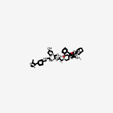 Cc1ncsc1-c1ccc(CNC(=O)[C@@H]2C[C@@H](O)CN2C(=O)[C@@H](NC(=O)[C@@H](C)N2CCC(c3cnc(N4C5CCC4CN(c4cc(-c6ccccc6O)nnc4N)C5)nc3)CC2)C(C)(C)C)cc1